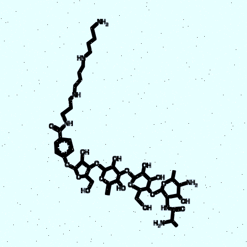 C=C1OC(OC2C(CO)OC(Oc3ccc(C(=O)NCCCNCCCCNCCCCN)cc3)C2O)C(O)C(OC2OC(CO)C(OC3OC(C)C(N)C(O)C3NC(=O)C(C)N)C(O)C2O)C1O